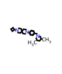 CC1CC(C)CN(Cc2ccc(N3CCC4(CC3)CCN(C3CCC3)CC4)cc2)C1